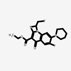 CCOC(=O)c1c2n(c3cc(N4CCCCC4)c(F)cc3c1=O)C(CF)S2